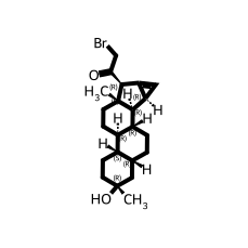 C[C@@]1(O)CC[C@H]2[C@H](CC[C@@H]3[C@@H]2CC[C@]2(C)[C@@H](C(=O)CBr)C4=C[C@H]4[C@@H]32)C1